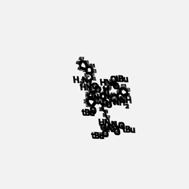 CC(C)(C)OC(=O)N=C(NCCCCCC[C@@](CCCCNC(=O)OC(C)(C)C)(NC(=O)[C@H](Cc1ccc(OC(C)(C)C)cc1)NC(=O)[C@@H](N)Cc1ccc2ccccc2c1)C(=O)N[C@@H](Cc1c[nH]c2ccccc12)C(N)=O)NC(=O)OC(C)(C)C